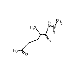 CNNC(=O)C(N)CCC(=O)O